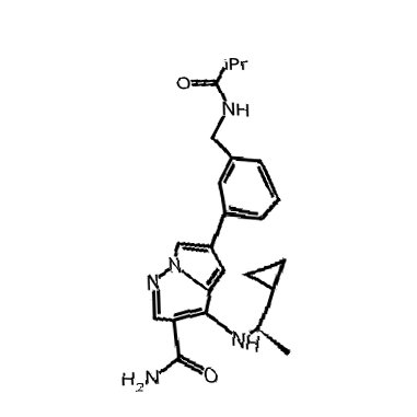 CC(C)C(=O)NCc1cccc(-c2cc3c(N[C@H](C)C4CC4)c(C(N)=O)cnn3c2)c1